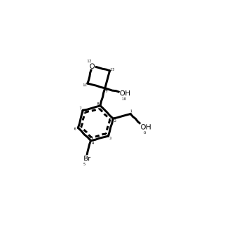 OCc1cc(Br)ccc1C1(O)COC1